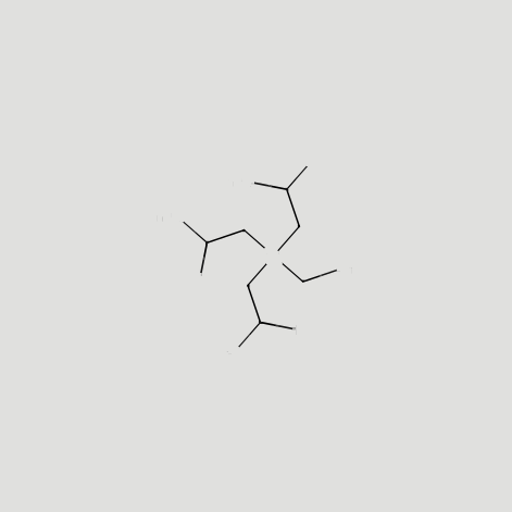 CCCCC(CC)[CH2][Sn]([CH2]C(C)C)([CH2]C(CC)CCCC)[CH2]C(CC)CCCC